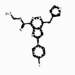 CCOC(=O)c1nnc(Cc2ccoc2)c2cc(-c3ccc(Cl)cc3)sc12